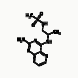 CC(CNS(C)(=O)=O)Nc1nc(N)nc2cccnc12